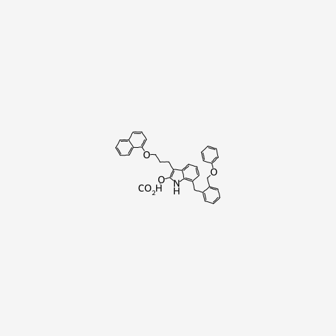 O=C(O)Oc1[nH]c2c(Cc3ccccc3COc3ccccc3)cccc2c1CCCOc1cccc2ccccc12